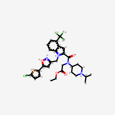 CCOC(=O)CN(C(=O)c1cc2c(C(F)(F)F)cccc2n1Cc1cc(-c2ccc(Cl)s2)on1)C1CCN(C(C)C)CC1